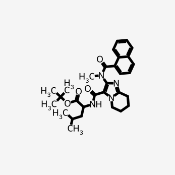 CC(C)CC(NC(=O)c1c(N(C)C(=O)c2cccc3ccccc23)nc2n1CCCC2)C(=O)OC(C)(C)C